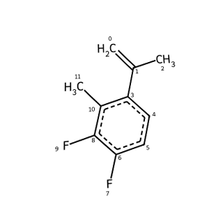 C=C(C)c1ccc(F)c(F)c1C